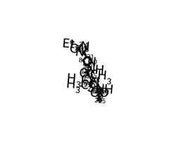 CCOc1cncc(-c2ccc(NC(=O)C(C)(C)c3nc(NS(=O)(=O)C4CC4)sc3C)nc2)n1